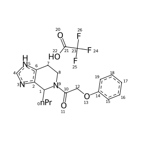 CCCC1c2nc[nH]c2CCN1C(=O)COc1ccccc1.O=C(O)C(F)(F)F